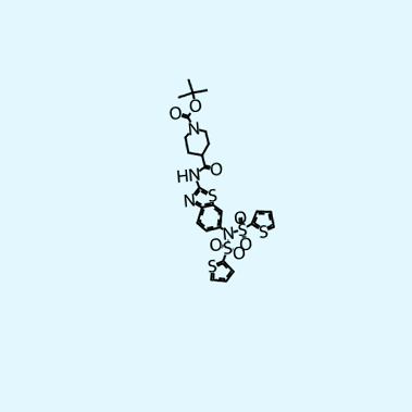 CC(C)(C)OC(=O)N1CCC(C(=O)Nc2nc3ccc(N(S(=O)(=O)c4cccs4)S(=O)(=O)c4cccs4)cc3s2)CC1